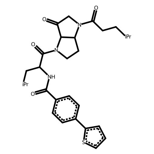 CC(C)CCC(=O)N1CC(=O)C2C1CCN2C(=O)C(CC(C)C)NC(=O)c1ccc(-c2cccs2)cc1